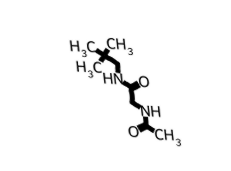 CC(=O)NCC(=O)NCC(C)(C)C